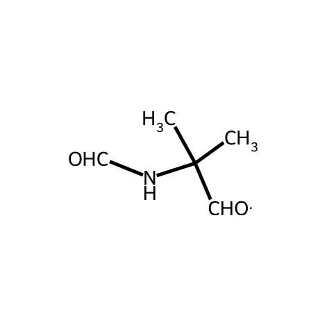 CC(C)([C]=O)NC=O